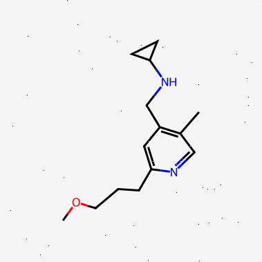 COCCCc1cc(CNC2CC2)c(C)cn1